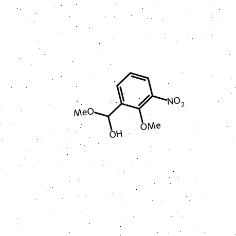 COc1c(C(O)OC)cccc1[N+](=O)[O-]